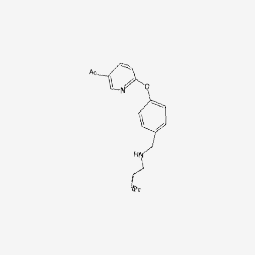 CC(=O)c1ccc(Oc2ccc(CNCCC(C)C)cc2)nc1